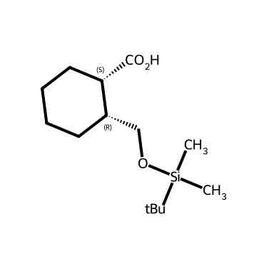 CC(C)(C)[Si](C)(C)OC[C@@H]1CCCC[C@@H]1C(=O)O